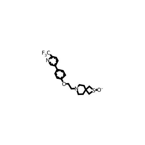 [O-][S+]1CC2(CCN(CCOc3ccc(-c4ccc(C(F)(F)F)nc4)cc3)CC2)C1